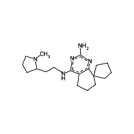 CN1CCCC1CCNc1nc(N)nc2c1CCCC21CCCC1